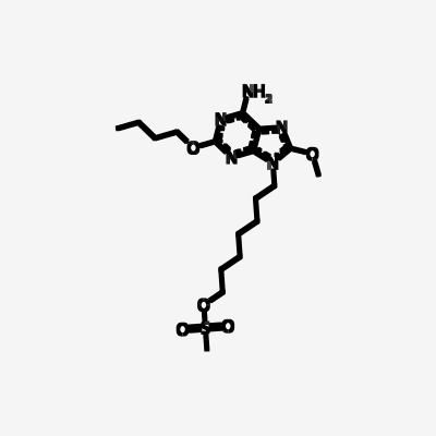 CCCCOc1nc(N)c2nc(OC)n(CCCCCCCOS(C)(=O)=O)c2n1